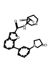 Cl.O=C(N[C@H]1CN2CCC1CC2)c1cc2cccc(-c3cccc(N4CCCC4)c3)c2o1